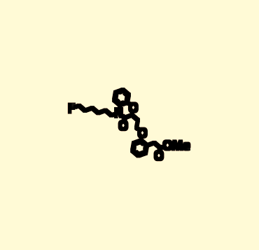 COC(=O)Cc1ccccc1OCCC1Oc2ccccc2N(CCCCCCF)C1=O